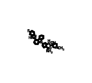 CN1CCC(O)(CNc2cc(-n3c4ccccc4c4c(-c5nc6ccc(F)cc6[nH]5)cccc43)ccc2C(N)=O)CC1